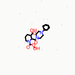 O=C(O)C1CCCN(C(=O)OO)C1C(=O)N1CCN(c2ccccc2)CC1